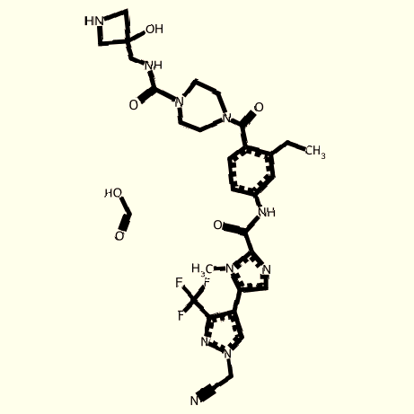 CCc1cc(NC(=O)c2ncc(-c3cn(CC#N)nc3C(F)(F)F)n2C)ccc1C(=O)N1CCN(C(=O)NCC2(O)CNC2)CC1.O=CO